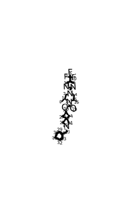 CC1CN(c2ncc(C(F)(F)F)cn2)C[C@@H](C)N1C(=O)OC1CC2(C1)CN(Cc1ccccc1)C2